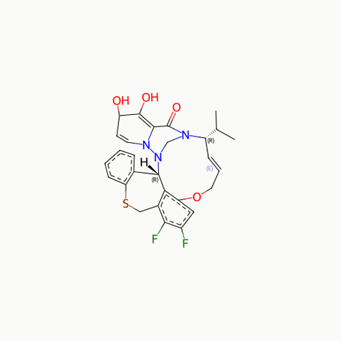 CC(C)[C@@H]1/C=C/COc2cc(F)c(F)c3c2[C@H](c2ccccc2SC3)N2CN1C(=O)C1=C(O)C(O)C=CN12